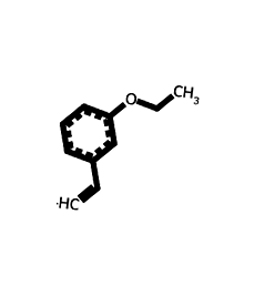 [CH]=Cc1cccc(OCC)c1